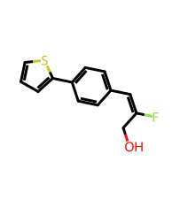 OC/C(F)=C\c1ccc(-c2cccs2)cc1